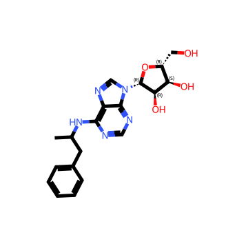 CC(Cc1ccccc1)Nc1ncnc2c1ncn2[C@@H]1O[C@H](CO)[C@@H](O)[C@H]1O